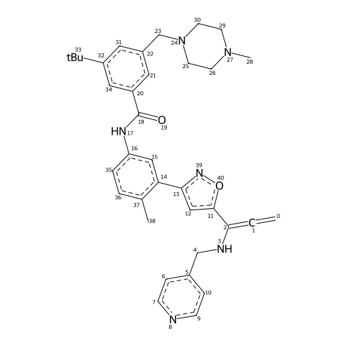 C=C=C(NCc1ccncc1)c1cc(-c2cc(NC(=O)c3cc(CN4CCN(C)CC4)cc(C(C)(C)C)c3)ccc2C)no1